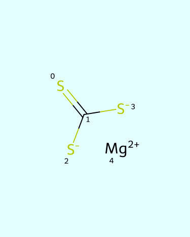 S=C([S-])[S-].[Mg+2]